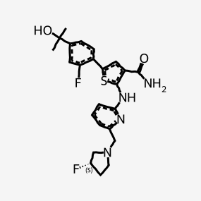 CC(C)(O)c1ccc(-c2cc(C(N)=O)c(Nc3cccc(CN4CC[C@H](F)C4)n3)s2)c(F)c1